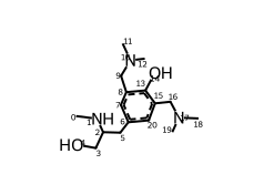 CNC(CO)Cc1cc(CN(C)C)c(O)c(CN(C)C)c1